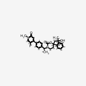 C[C@@H](c1ccc(-c2cc(=O)n(C)cc2F)cc1)N1CCC(CC(C)(C)O)(c2ccccc2)OC1=O